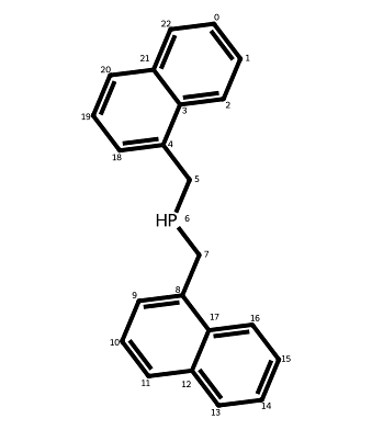 c1ccc2c(CPCc3cccc4ccccc34)cccc2c1